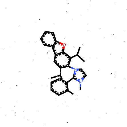 Cc1ccccc1-c1n(-c2c(C(C)C)cc3c(oc4ccccc43)c2C(C)C)cc[n+]1C